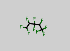 F[C](F)C(F)C(F)(F)C(F)C(F)(F)F